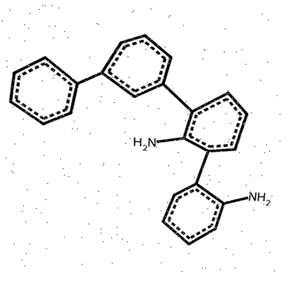 Nc1ccccc1-c1cccc(-c2cccc(-c3ccccc3)c2)c1N